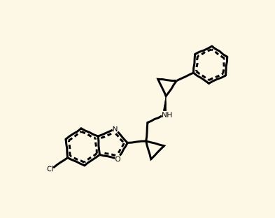 Clc1ccc2nc(C3(CN[C@H]4CC4c4ccccc4)CC3)oc2c1